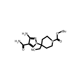 CC(C)(C)OC(=O)N1CCC(CC#N)(n2cc(C(N)=O)c(N)n2)CC1